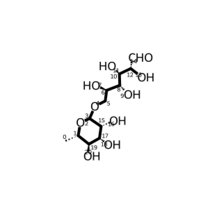 C[C@@H]1OC(OC[C@@H](O)[C@@H](O)[C@H](O)[C@@H](O)C=O)[C@H](O)[C@H](O)[C@H]1O